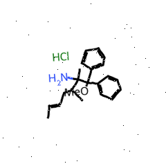 CC=CCC(C)C(C)(N)C(OC)(c1ccccc1)c1ccccc1.Cl